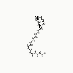 CCCCC/C=C\C/C=C\CCCCCCCCCN(C)CCCN